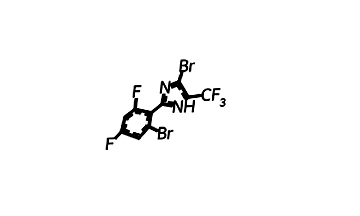 Fc1cc(F)c(-c2nc(Br)c(C(F)(F)F)[nH]2)c(Br)c1